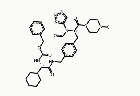 CN1CCN(C(=O)[C@@H](Cc2ccc(CNC(=O)[C@@H](NC(=O)OCc3ccccc3)C3CCCCC3)cc2)N(C=O)c2cnns2)CC1